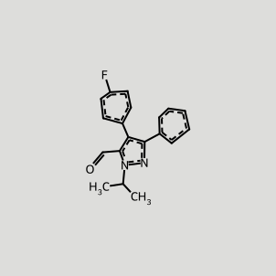 CC(C)n1nc(-c2ccccc2)c(-c2ccc(F)cc2)c1C=O